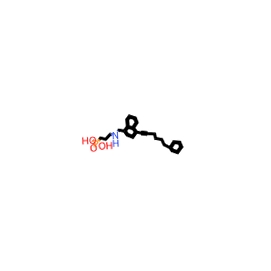 O=P(O)(O)CCCNCc1ccc(C#CCCCCc2ccccc2)c2ccccc12